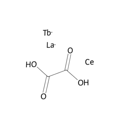 O=C(O)C(=O)O.[Ce].[La].[Tb]